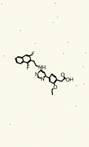 CCOc1cc(-c2cc(NCCc3c(F)cc4ccccc4c3F)ncn2)ccc1CC(=O)O